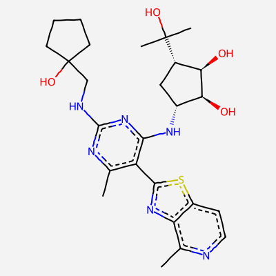 Cc1nc(NCC2(O)CCCC2)nc(N[C@@H]2C[C@H](C(C)(C)O)[C@@H](O)[C@H]2O)c1-c1nc2c(C)nccc2s1